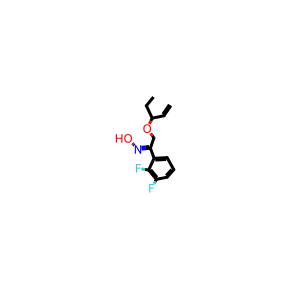 C=CC(CC)OCC(=NO)c1cccc(F)c1F